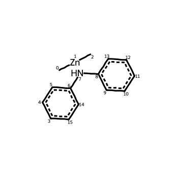 [CH3][Zn][CH3].c1ccc(Nc2ccccc2)cc1